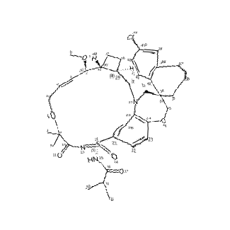 CO[C@@H]1C=CCOC(C)(C)C(=O)N=[S@@](=O)(NC(=O)C(C)C)c2ccc3c(c2)N(C[C@@H]2CC[C@H]21)C[C@@]1(CCCc2cc(Cl)ccc21)CO3